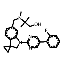 CN(Cc1ccc2c(c1)N(c1ncc(-c3ccccc3F)cn1)CC21CC1)C(C)(C)CO